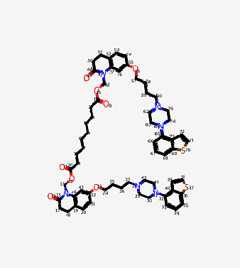 O=C(CCCCCCCCC(=O)OCN1C(=O)CCc2ccc(OCCCCN3CCN(c4cccc5sccc45)CC3)cc21)OCN1C(=O)CCc2ccc(OCCCCN3CCN(c4cccc5sccc45)CC3)cc21